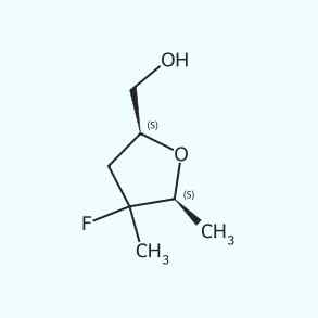 C[C@@H]1O[C@H](CO)CC1(C)F